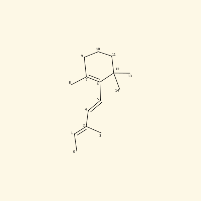 C/C=C(C)/C=C/C1=C(C)CCCC1(C)C